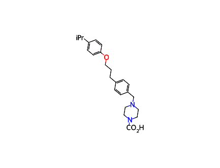 CC(C)c1ccc(OCCCc2ccc(CN3CCN(C(=O)O)CC3)cc2)cc1